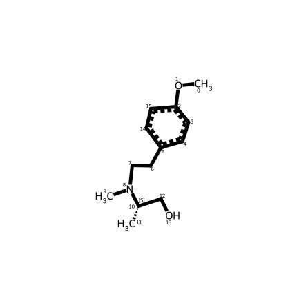 COc1ccc(CCN(C)[C@@H](C)CO)cc1